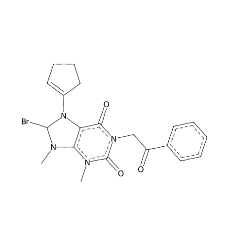 CN1c2c(c(=O)n(CC(=O)c3ccccc3)c(=O)n2C)N(C2=CCCC2)C1Br